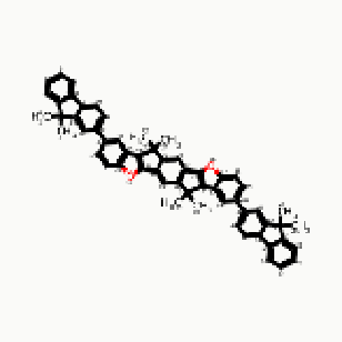 CC1(C)c2ccccc2-c2ccc(-c3ccc4oc5c(c4c3)C(C)(C)c3cc4c(cc3-5)C(C)(C)c3c-4oc4ccc(-c5ccc6c(c5)C(C)(C)c5ccccc5-6)cc34)cc21